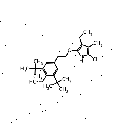 CCc1c(OCCc2cc(C(C)(C)C)c(CO)c(C(C)(C)C)c2)[nH]c(Cl)c1C